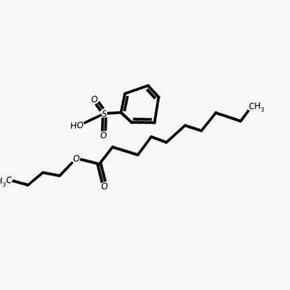 CCCCCCCCCC(=O)OCCCC.O=S(=O)(O)c1ccccc1